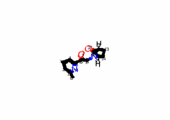 Cc1cccc(C(=O)CN2C(=O)[C@@H]3CC[C@H]2C3)n1